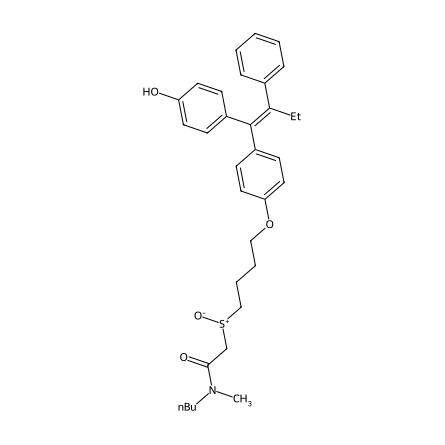 CCCCN(C)C(=O)C[S+]([O-])CCCCOc1ccc(/C(=C(\CC)c2ccccc2)c2ccc(O)cc2)cc1